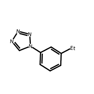 CCc1cccc(-n2cnnn2)c1